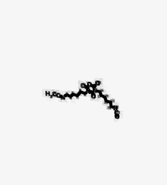 C=C=NCCCCCCn1c(=O)oc(=O)n(CCCCCCN=C=O)c1=O